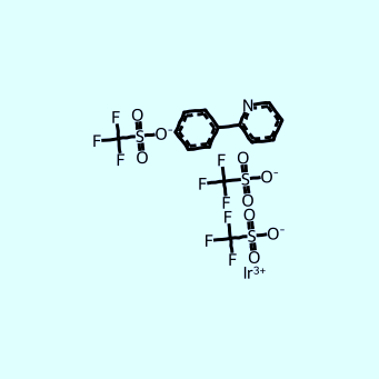 O=S(=O)([O-])C(F)(F)F.O=S(=O)([O-])C(F)(F)F.O=S(=O)([O-])C(F)(F)F.[Ir+3].c1ccc(-c2ccccn2)cc1